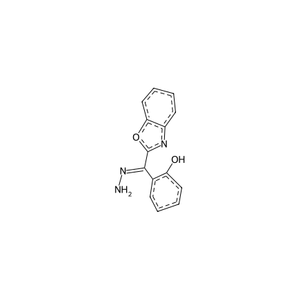 N/N=C(/c1nc2ccccc2o1)c1ccccc1O